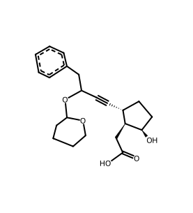 O=C(O)C[C@@H]1[C@H](O)CC[C@H]1C#CC(Cc1ccccc1)OC1CCCCO1